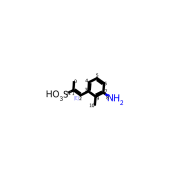 C/C(=C\c1cccc(N)c1C)S(=O)(=O)O